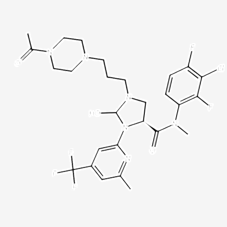 CC(=O)N1CCN(CCCN2C[C@@H](C(=O)N(C)c3ccc(F)c(Cl)c3F)N(c3cc(C(F)(F)F)cc(C)n3)C2O)CC1